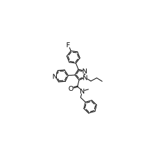 CCCn1nc(-c2ccc(F)cc2)c(-c2ccncc2)c1C(=O)N(C)Cc1ccccc1